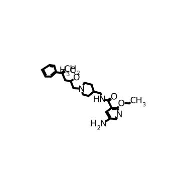 C=C(CC(CN1CCC(CNC(=O)c2cc(N)cnc2OCC)CC1)OC)c1ccccc1